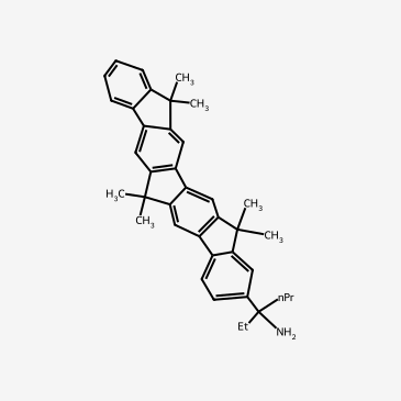 CCCC(N)(CC)c1ccc2c(c1)C(C)(C)c1cc3c(cc1-2)C(C)(C)c1cc2c(cc1-3)C(C)(C)c1ccccc1-2